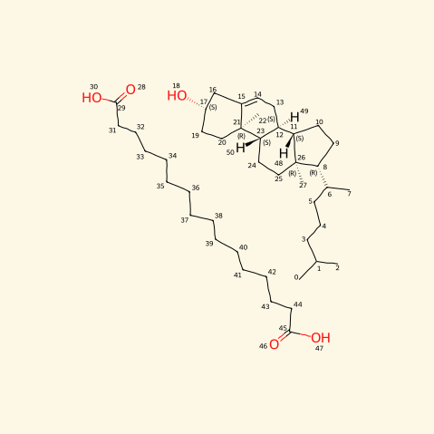 CC(C)CCCC(C)[C@H]1CC[C@H]2[C@@H]3CC=C4C[C@@H](O)CC[C@]4(C)[C@H]3CC[C@]12C.O=C(O)CCCCCCCCCCCCCCC(=O)O